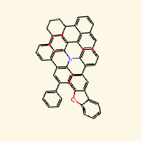 c1ccc(-c2ccc(N(c3ccccc3-c3ccc4oc5ccccc5c4c3)c3ccccc3-c3cccc4cccc(C5CCCCC5)c34)c(-c3ccccc3)c2)cc1